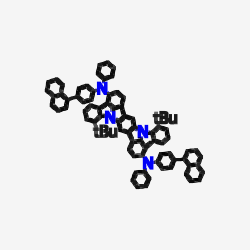 CC(C)(C)c1cccc2c3c(N(c4ccccc4)c4ccc(-c5cccc6ccccc56)cc4)ccc4c5cc6c(cc5n(c12)c43)c1ccc(N(c2ccccc2)c2ccc(-c3cccc4ccccc34)cc2)c2c3cccc(C(C)(C)C)c3n6c12